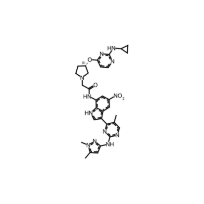 Cc1cnc(Nc2cc(C)n(C)n2)nc1-c1c[nH]c2c(NC(=O)CN3CC[C@H](Oc4ccnc(NC5CC5)n4)C3)cc([N+](=O)[O-])cc12